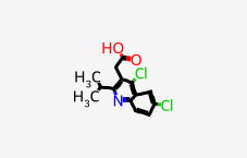 CC(C)c1nc2ccc(Cl)cc2c(Cl)c1CC(=O)O